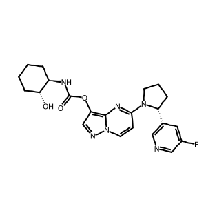 O=C(N[C@@H]1CCCC[C@H]1O)Oc1cnn2ccc(N3CCC[C@@H]3c3cncc(F)c3)nc12